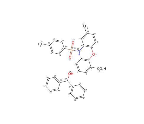 O=C(O)c1ccccc1Oc1ccc(C(F)(F)F)cc1NS(=O)(=O)c1ccc(C(F)(F)F)cc1.OC(c1ccccc1)c1ccccc1